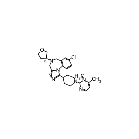 CC1=CC=NC(N2CCC(c3nnc4n3-c3ccc(Cl)cc3CN([C@H]3CCOC3)C4)CC2)N1C